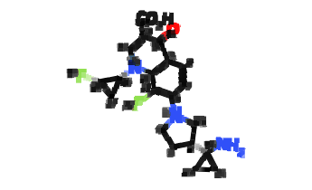 NC1([C@@H]2CCN(c3ccc4c(=O)c(C(=O)O)cn([C@@H]5C[C@@H]5F)c4c3F)C2)CC1